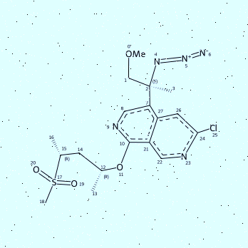 COC[C@@](C)(N=[N+]=[N-])c1cnc(O[C@H](C)C[C@@H](C)S(C)(=O)=O)c2cnc(Cl)cc12